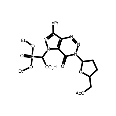 CCCc1nn(C(C(=O)O)P(=O)(OCC)OCC)c2c(=O)n(C3CCC(COC(C)=O)O3)nnc12